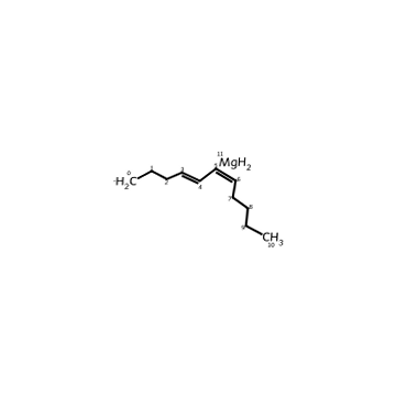 [CH2]CC/C=C/C=C\CCCC.[MgH2]